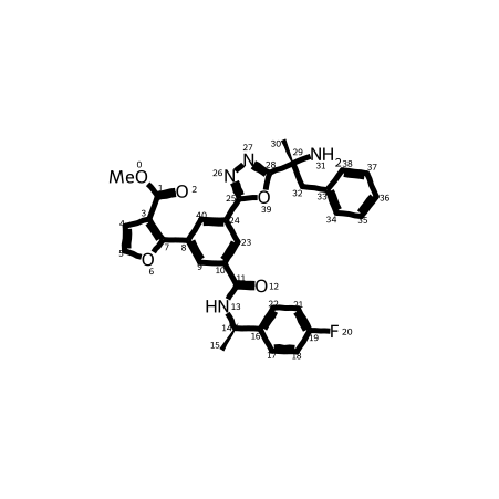 COC(=O)c1ccoc1-c1cc(C(=O)N[C@H](C)c2ccc(F)cc2)cc(-c2nnc([C@](C)(N)Cc3ccccc3)o2)c1